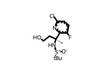 CC(C)(C)[S@@+]([O-])N[C@@](C)(CCO)c1nc(Cl)ccc1F